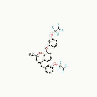 O[C@@H](C[As](Cc1cccc(OC(F)(F)C(F)F)c1)c1cccc(Oc2cccc(OC(F)(F)C(F)F)c2)c1)C(F)(F)F